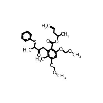 C=CCC(C)OC(=O)c1c(OCOC)cc(OCOC)c(C)c1CC(=O)C(C)Sc1ccccc1